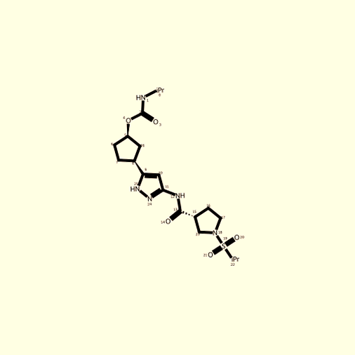 CC(C)NC(=O)O[C@@H]1CC[C@H](c2cc(NC(=O)[C@@H]3CCN(S(=O)(=O)C(C)C)C3)n[nH]2)C1